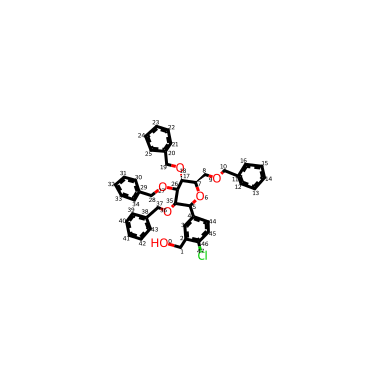 OCc1cc(C2O[C@H](COCc3ccccc3)[C@@H](OCc3ccccc3)C(OCc3ccccc3)C2OCc2ccccc2)ccc1Cl